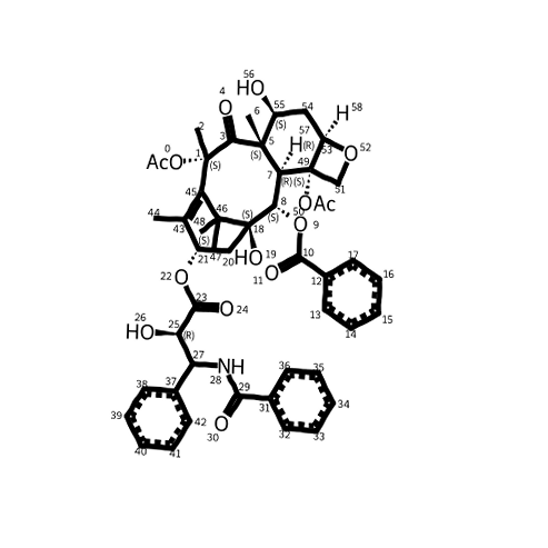 CC(=O)O[C@]1(C)C(=O)[C@@]2(C)[C@H]([C@H](OC(=O)c3ccccc3)[C@]3(O)C[C@H](OC(=O)[C@H](O)C(NC(=O)c4ccccc4)c4ccccc4)C(C)=C1C3(C)C)[C@]1(OC(C)=O)CO[C@@H]1C[C@@H]2O